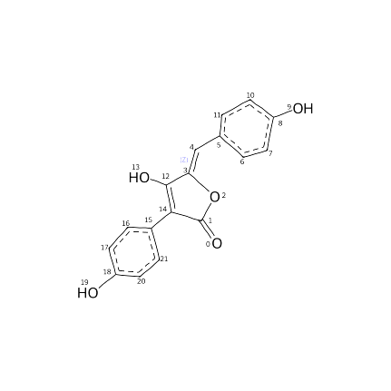 O=C1O/C(=C\c2ccc(O)cc2)C(O)=C1c1ccc(O)cc1